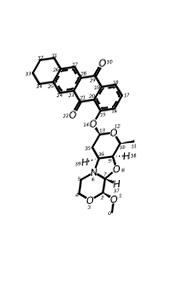 CO[C@H]1OCCN2[C@@H]1O[C@@H]1[C@H](C)O[C@H](Oc3cccc4c3C(=O)c3cc5c(cc3C4=O)CCCC5)C[C@@H]12